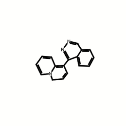 [c]1nnc(C2=C3C=CC=CN3CC=C2)c2ccccc12